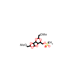 COCC1OC2OC3C(COS(C)(=O)=O)OC(COC)OC3C2O1